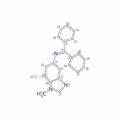 Cn1cnc2cc(N=C(c3ccccc3)c3ccccc3)cc(F)c21